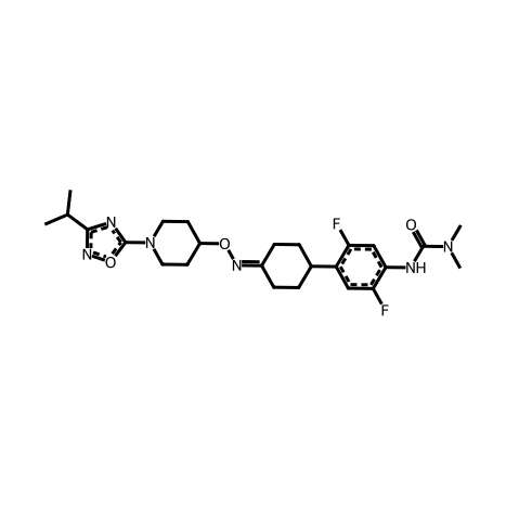 CC(C)c1noc(N2CCC(ON=C3CCC(c4cc(F)c(NC(=O)N(C)C)cc4F)CC3)CC2)n1